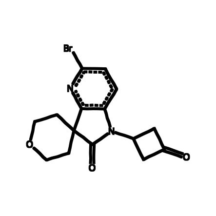 O=C1CC(N2C(=O)C3(CCOCC3)c3nc(Br)ccc32)C1